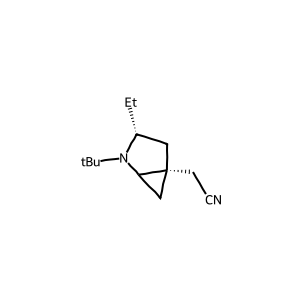 CC[C@@H]1C[C@@]2(CC#N)CC2N1C(C)(C)C